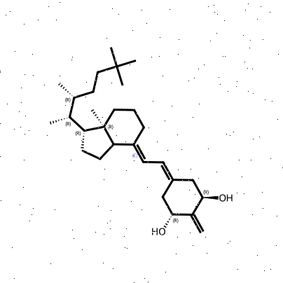 C=C1[C@H](O)CC(=C/C=C2\CCC[C@@]3(C)C2CC[C@@H]3[C@H](C)[C@H](C)CCC(C)(C)C)C[C@H]1O